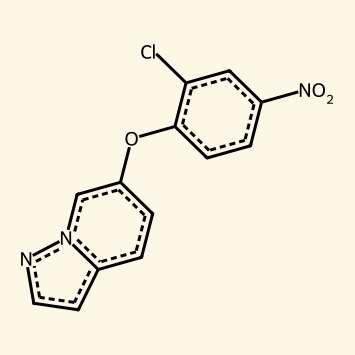 O=[N+]([O-])c1ccc(Oc2ccc3ccnn3c2)c(Cl)c1